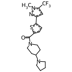 Cn1nc(-c2ccc(C(=O)N3CCC(N4CCCC4)CC3)s2)cc1C(F)(F)F